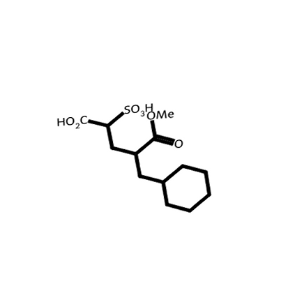 COC(=O)C(CC1CCCCC1)CC(C(=O)O)S(=O)(=O)O